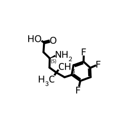 CC(C)(Cc1cc(F)c(F)cc1F)C[C@H](N)CC(=O)O